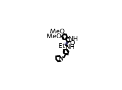 CC/C(Nc1ccc(CN2CCCCC2)cc1)=C1/C(=O)Nc2cc(OC)c(OC)cc21